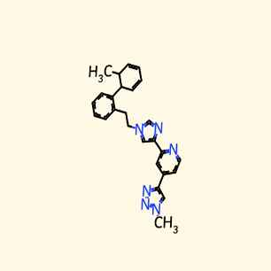 CC1C=CC=CC1c1ccccc1CCn1cnc(-c2cc(-c3cn(C)nn3)ccn2)c1